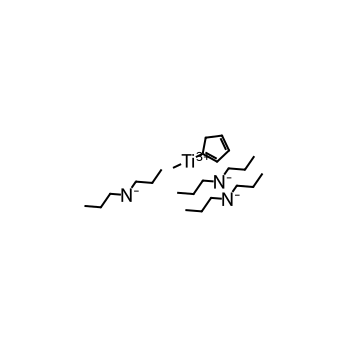 CCC[N-]CCC.CCC[N-]CCC.CCC[N-]CCC.[CH3][Ti+3][C]1=CC=CC1